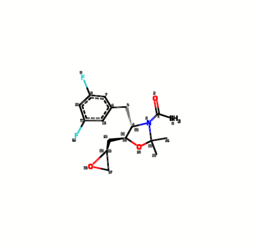 BC(=O)N1[C@@H](Cc2cc(F)cc(F)c2)[C@H](C[C@H]2CO2)OC1(C)C